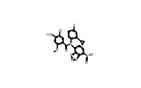 COc1cc(N)c(Cl)cc1C(=O)N(c1ccc(F)cc1C1CC1)c1ccc([N+](=O)[O-])c2nonc12